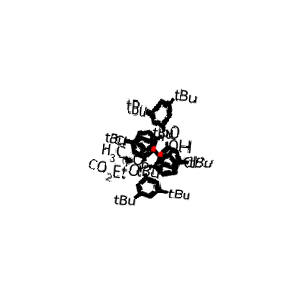 CCOC(=O)[C@H](C)Oc1c(Cl)ccc(P(=O)(c2cc(C(C)(C)C)cc(C(C)(C)C)c2)c2cc(C(C)(C)C)cc(C(C)(C)C)c2)c1-c1c(P(=O)(c2cc(C(C)(C)C)cc(C(C)(C)C)c2)c2cc(C(C)(C)C)cc(C(C)(C)C)c2)ccc(Cl)c1O